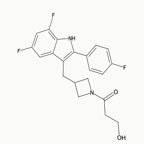 O=C(CCO)N1CC(Cc2c(-c3ccc(F)cc3)[nH]c3c(F)cc(F)cc23)C1